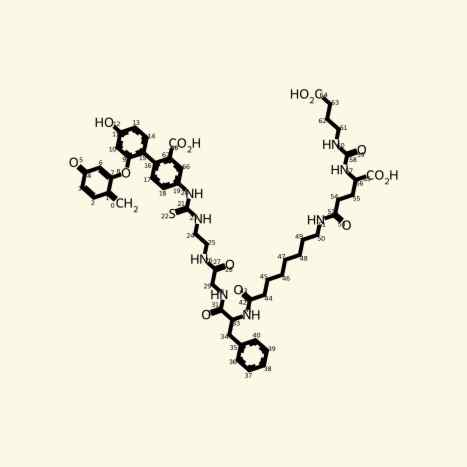 C=C1C=CC(=O)C=C1Oc1cc(O)ccc1-c1ccc(NC(=S)NCCNC(=O)CNC(=O)C(Cc2ccccc2)NC(=O)CCCCCCCNC(=O)CCC(NC(=O)NCCCC(=O)O)C(=O)O)cc1C(=O)O